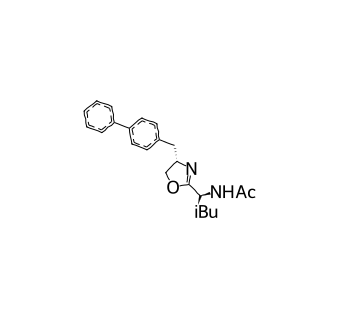 CC[C@H](C)[C@H](NC(C)=O)C1=N[C@@H](Cc2ccc(-c3ccccc3)cc2)CO1